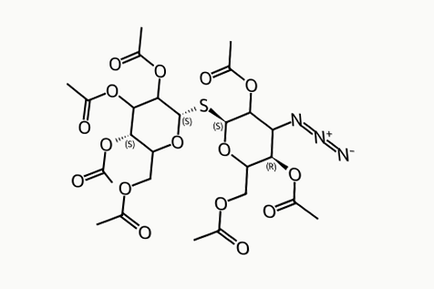 CC(=O)OCC1O[C@@H](S[C@@H]2OC(COC(C)=O)[C@H](OC(C)=O)C(OC(C)=O)C2OC(C)=O)C(OC(C)=O)C(N=[N+]=[N-])[C@H]1OC(C)=O